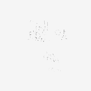 O=C(O)CCNC(=O)NCCC1CCN(c2cc(N3C[C@@H](O)C[C@H]3C(=O)NCCc3ccc(C(F)(F)F)cc3)nc(C(F)(F)F)n2)CC1